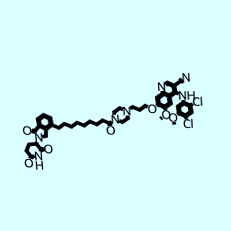 COc1cc(Nc2c(C#N)cnc3cc(OCCCN4CCN(C(=O)CCCCCCCCc5cccc6c5CN(C5CCC(=O)NC5=O)C6=O)CC4)c(OC)cc23)c(Cl)cc1Cl